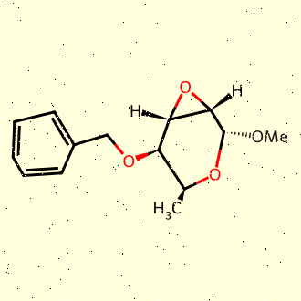 CO[C@@H]1O[C@@H](C)[C@@H](OCc2ccccc2)[C@@H]2O[C@H]12